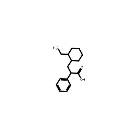 CCC1CCCCC1CC(C(=O)O)c1ccccc1